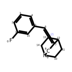 Fc1cccc(/C=C2\CN3CCC2CC3)c1